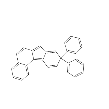 [C]1=c2ccc3ccccc3c2=C2C=CC(c3ccccc3)(c3ccccc3)C=C12